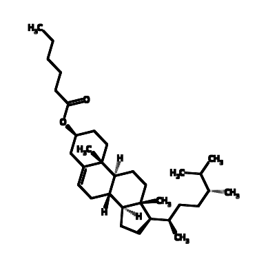 CCCCCC(=O)O[C@H]1CC[C@@]2(C)C(=CC[C@H]3[C@@H]4CC[C@H]([C@H](C)CC[C@@H](C)C(C)C)[C@@]4(C)CC[C@@H]32)C1